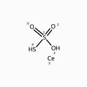 O=S(=O)(O)S.[Ce]